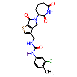 Cc1ccc(N(I)C(=O)NCc2csc3c2CN(C2CCCC(=O)NC2=O)C3=O)cc1Cl